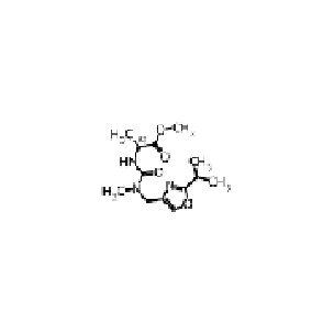 COC(=O)[C@H](C)NC(=O)N(C)Cc1coc(C(C)C)n1